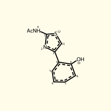 CC(=O)Nc1nc(-c2ccccc2O)cs1